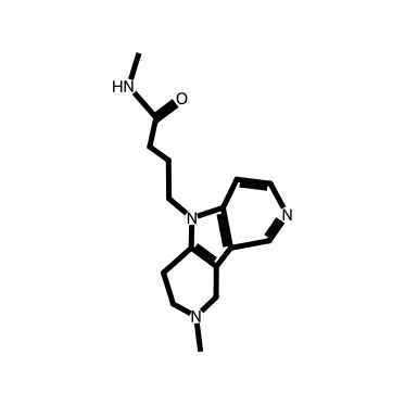 CNC(=O)CCCn1c2c(c3cnccc31)CN(C)CC2